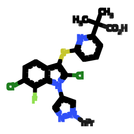 CCCn1cc(-n2c(Cl)c(Sc3cccc(C(C)(C)C(=O)O)n3)c3ccc(Cl)c(F)c32)cn1